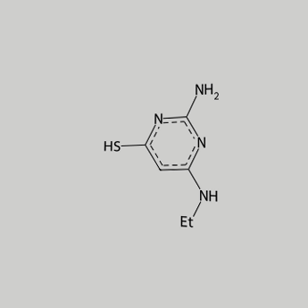 CCNc1cc(S)nc(N)n1